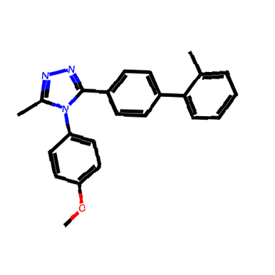 COc1ccc(-n2c(C)nnc2-c2ccc(-c3ccccc3C)cc2)cc1